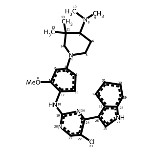 COc1cc(N2CCC(N(C)C)C(C)(C)C2)ccc1Nc1ncc(Cl)c(-c2c[nH]c3ccccc23)n1